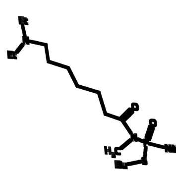 CCC(C)SP(=O)(NC)N(C)C(=O)CCCCCCN(CC)CC